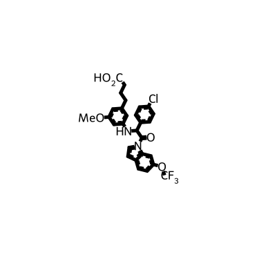 COc1cc(CCCC(=O)O)cc(NC(C(=O)n2ccc3ccc(OC(F)(F)F)cc32)c2ccc(Cl)cc2)c1